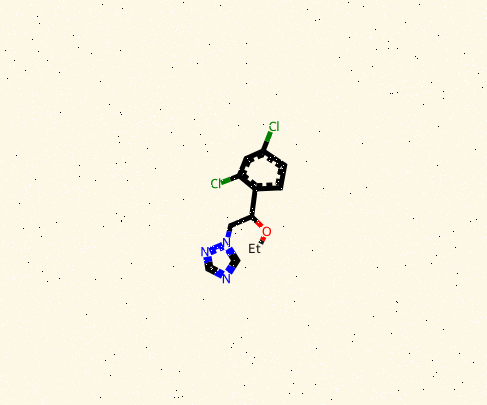 CCOC(Cn1cncn1)c1ccc(Cl)cc1Cl